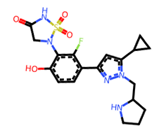 O=C1CN(c2c(O)ccc(-c3cc(C4CC4)n(CC4CCCN4)n3)c2F)S(=O)(=O)N1